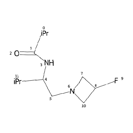 CC(C)C(=O)NC(CN1CC(F)C1)C(C)C